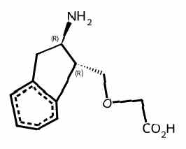 N[C@@H]1Cc2ccccc2[C@H]1COCC(=O)O